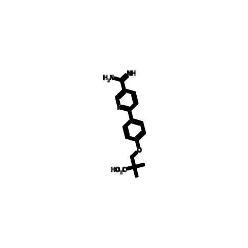 CC(C)(COc1ccc(-c2ccc(C(=N)N)cn2)cc1)C(=O)O